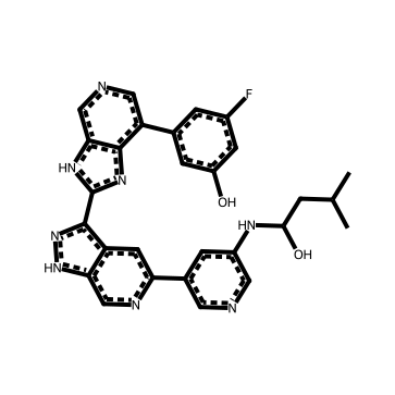 CC(C)CC(O)Nc1cncc(-c2cc3c(-c4nc5c(-c6cc(O)cc(F)c6)cncc5[nH]4)n[nH]c3cn2)c1